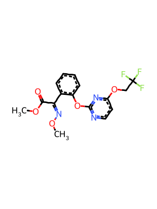 CON=C(C(=O)OC)c1ccccc1Oc1nccc(OCC(F)(F)F)n1